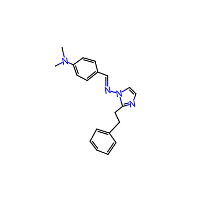 CN(C)c1ccc(C=Nn2ccnc2CCc2ccccc2)cc1